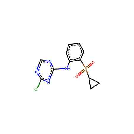 O=S(=O)(c1ccccc1Nc1ncnc(Cl)n1)C1CC1